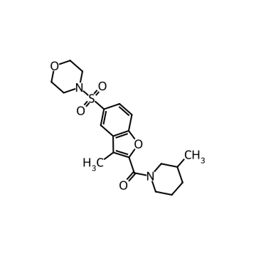 Cc1c(C(=O)N2CCCC(C)C2)oc2ccc(S(=O)(=O)N3CCOCC3)cc12